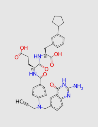 C#CCN(Cc1ccc2nc(N)[nH]c(=O)c2c1)c1ccc(C(=O)N[C@@H](CCC(=O)O)C(=O)N[C@@H](Cc2cccc(C3CCCC3)c2)C(=O)O)cc1